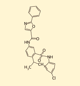 CC(C)c1ccc(NC(=O)c2cnc(-c3ccccc3)o2)cc1S(=O)(=O)Nc1ccc(Cl)cc1